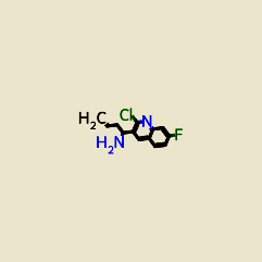 C=CCC(N)c1cc2ccc(F)cc2nc1Cl